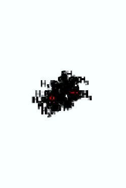 CCOC(=O)c1cccc(Nc2c(Nc3cccc(C(=O)OCC)c3)c(Nc3cccc(C(=O)OCC)c3)c3c(c2Nc2cccc(C(=O)OCC)c2)-c2nc-3nc3[nH]c(nc4nc(nc5[nH]c(n2)c2c(F)c(F)c(F)c(F)c52)-c2c(F)c(F)c(F)c(F)c2-4)c2c(Nc4cccc(C(=O)OCC)c4)c(Nc4cccc(C(=O)OCC)c4)c(Nc4cccc(C(=O)OCC)c4)c(Nc4cccc(C(=O)OCC)c4)c32)c1